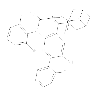 C=CC(=O)N1C2CC1CN(c1nc(=O)n(-c3c(C)ccnc3C(C)C)c3nc(-c4ccccc4F)c(Cl)cc13)C2